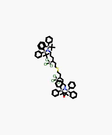 CC(C)(C)[Si](c1ccccc1)(c1ccccc1)N(CCCC(CCSCCC(CCCN([Si](c1ccccc1)(c1ccccc1)C(C)(C)C)[Si](c1ccccc1)(c1ccccc1)C(C)(C)C)[Si](Cl)(Cl)Cl)[Si](Cl)(Cl)Cl)[Si](c1ccccc1)(c1ccccc1)C(C)(C)C